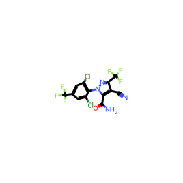 N#Cc1c(C(F)(F)F)nn(-c2c(Cl)cc(C(F)(F)F)cc2Cl)c1C(N)=O